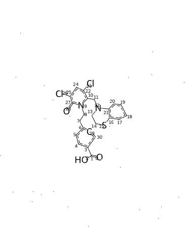 O=C(O)c1ccc(CCn2c(CN3CCSc4ccccc43)c(Cl)cc(Cl)c2=O)cc1